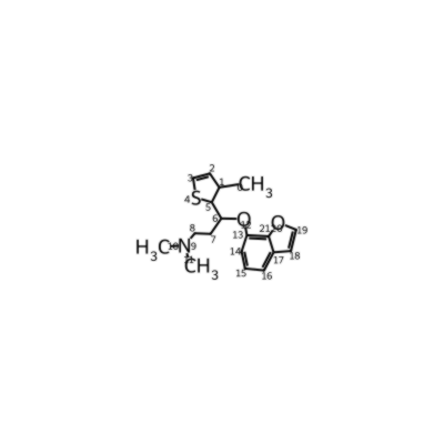 CC1C=CSC1C(CCN(C)C)Oc1cccc2ccoc12